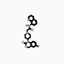 O=C(CN1CCC(N2C(=O)OCc3cc(F)ccc32)CC1)Nc1cccc2cccnc12